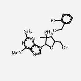 CCc1ccccc1CO[C@@H]1[C@@H](CO)O[C@@H](n2cnc3c(NC)nc(N)nc32)[C@]1(C)P